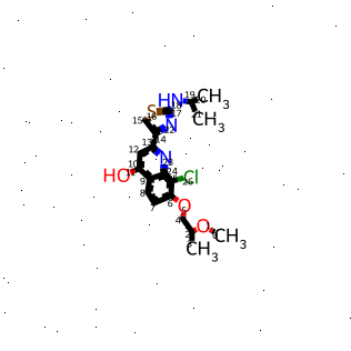 COC(C)COc1ccc2c(O)cc(-c3csc(NC(C)C)n3)nc2c1Cl